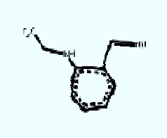 N=Cc1ccccc1NCC(F)(F)F